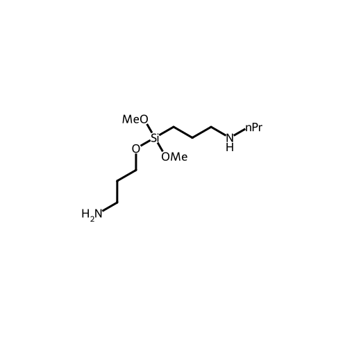 CCCNCCC[Si](OC)(OC)OCCCN